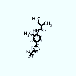 CCC(C)C(=O)Nc1ccc(-c2noc(C(F)(F)F)n2)cc1C